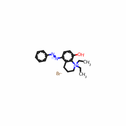 CC[N+]1(CC)CCCc2c(/N=N/c3ccccc3)ccc(O)c21.[Br-]